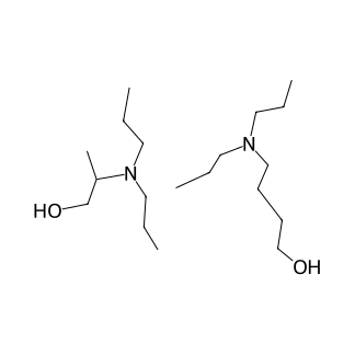 CCCN(CCC)C(C)CO.CCCN(CCC)CCCCO